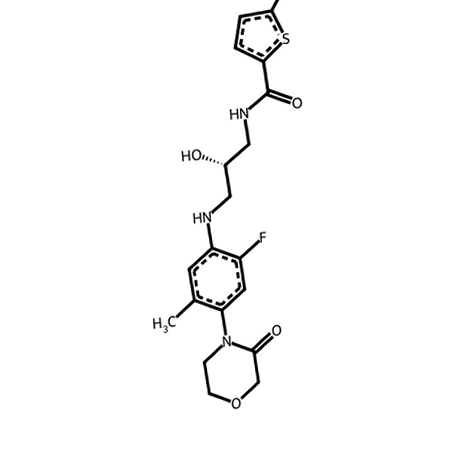 Cc1cc(NC[C@H](O)CNC(=O)c2ccc(Cl)s2)c(F)cc1N1CCOCC1=O